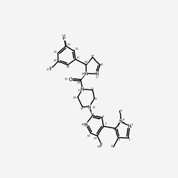 Cc1cnn(C)c1-c1cc(N2CCN(C(=O)N3N=CCC3c3cc(F)cc(F)c3)CC2)ncc1F